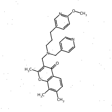 COc1ccc(CCCN(Cc2ccncc2)Cc2c(C)oc3c(C)c(C)ccc3c2=O)cn1